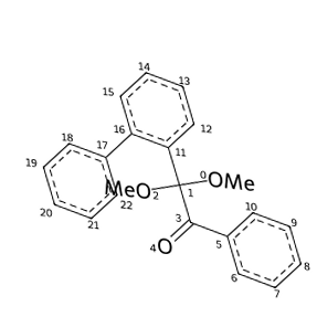 COC(OC)(C(=O)c1ccccc1)c1ccccc1-c1ccccc1